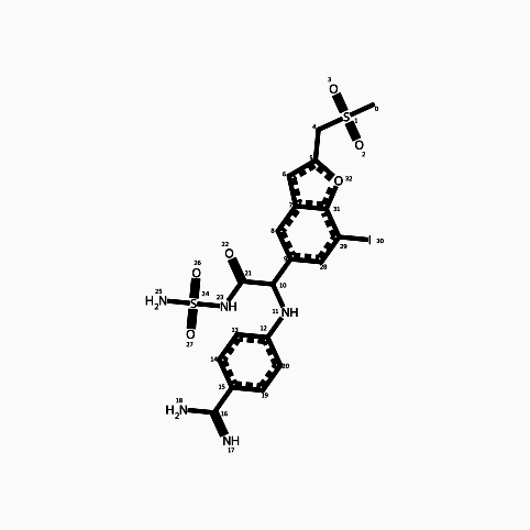 CS(=O)(=O)Cc1cc2cc(C(Nc3ccc(C(=N)N)cc3)C(=O)NS(N)(=O)=O)cc(I)c2o1